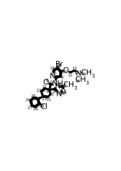 Cc1nc(C2(C(=O)Nc3cc(OCCN(C)C)c(Br)cn3)C=CC(c3ccccc3Cl)=CC2)no1